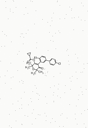 CCc1ccc(-c2ccc(Cl)cc2)cc1C1=C(OC(=O)C2CC2)C(C)(C)OC(C)(C)C1=O